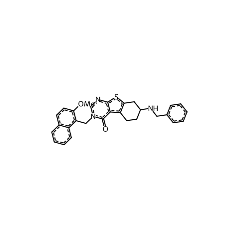 COc1ccc2ccccc2c1Cn1cnc2sc3c(c2c1=O)CCC(NCc1ccccc1)C3